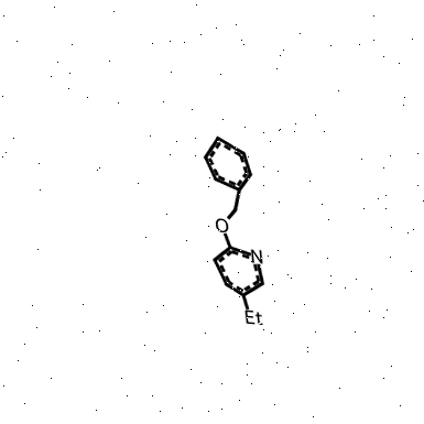 CCc1ccc(OCc2ccccc2)nc1